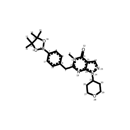 Cn1c(Cc2ccc(B3OC(C)(C)C(C)(C)O3)cc2)nc2c(cnn2C2CCOCC2)c1=O